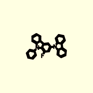 Fc1cc(-n2c3ccccc3c3ccccc32)cc2c3ccccc3n(-c3ccccc3)c12